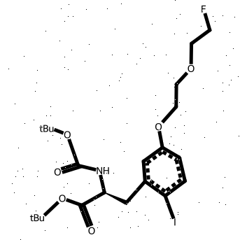 CC(C)(C)OC(=O)N[C@@H](Cc1cc(OCCOCCF)ccc1I)C(=O)OC(C)(C)C